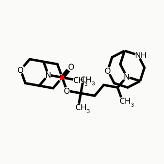 CC(CCC(C)(C)OC(=O)N1C2COCC1CN(C)C2)N1CC2COCCC1CN2